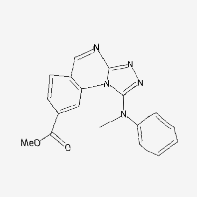 COC(=O)c1ccc2cnc3nnc(N(C)c4ccccc4)n3c2c1